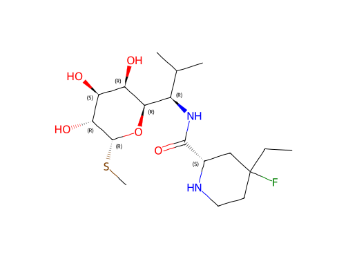 CCC1(F)CCN[C@H](C(=O)N[C@H](C(C)C)[C@H]2O[C@H](SC)[C@H](O)[C@@H](O)[C@H]2O)C1